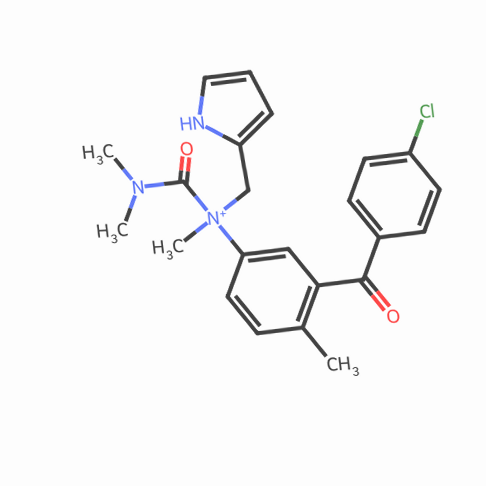 Cc1ccc([N+](C)(Cc2ccc[nH]2)C(=O)N(C)C)cc1C(=O)c1ccc(Cl)cc1